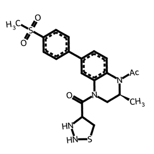 CC(=O)N1c2ccc(-c3ccc(S(C)(=O)=O)cc3)cc2N(C(=O)C2CSNN2)C[C@@H]1C